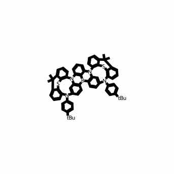 CC(C)(C)c1ccc(N2c3ccc4c(c3)N(c3cccc5c3Sc3c2cccc3C5(C)C)c2cccc3c2B4c2ccc4cc2N3c2cccc3c2Sc2c(cccc2C3(C)C)N4c2ccc(C(C)(C)C)cc2)cc1